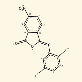 O=C1OC(=Cc2cc(F)ccc2F)c2ccc([N+](=O)[O-])cc21